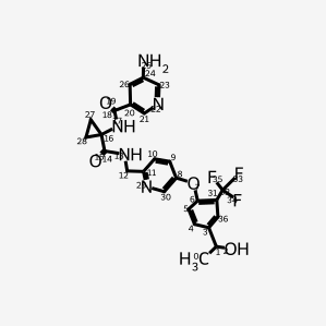 CC(O)c1ccc(Oc2ccc(CNC(=O)C3(NC(=O)c4cncc(N)c4)CC3)nc2)c(C(F)(F)F)c1